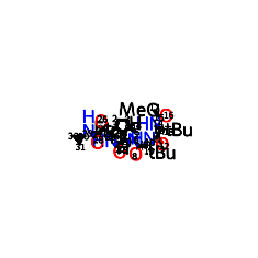 CCC12CC[C@H]3CN(C(=O)[C@@H](NC(=O)[C@@H](NC(=O)OC)C(C)(C)C)C(C)(C)C)[C@H](C(=O)N[C@@H]1C(=O)C(=O)NC1CC1)[C@H]32